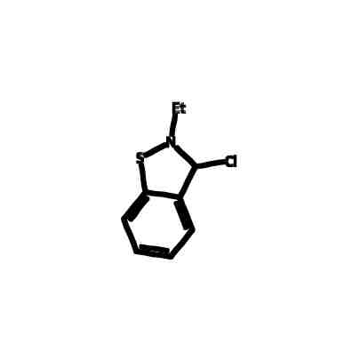 CCN1Sc2ccccc2C1Cl